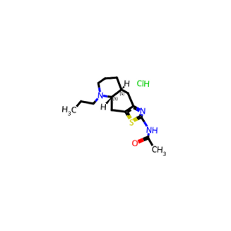 CCCN1CCC[C@H]2Cc3nc(NC(C)=O)sc3C[C@@H]21.Cl